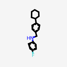 Fc1ccc(NCc2ccc(C3CCCCC3)cc2)cc1